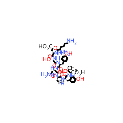 CC(C)C[C@H](NC(=O)[C@H](CC(N)=O)NC(=O)[C@H](Cc1ccc(O)cc1)NC(=O)[C@H](CO)NC(=O)[C@H](CCC(=O)O)NC(=O)[C@@H](N)CCCCN)C(=O)N[C@@H](Cc1ccc(O)cc1)C(=O)N[C@H](C(=O)O)[C@@H](C)O